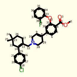 COC(=O)c1ccc(C2=CCN(CC3=C(c4ccc(Cl)cc4)CC(C)(C)CC3)CC2)cc1Oc1ccccc1F